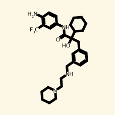 Nc1ccc(NC(=O)C(O)(Cc2cccc(CNCCN3CCCCC3)c2)C2CCCCC2)cc1C(F)(F)F